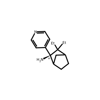 CCC1(CC)C2CCC(C2)[C@]1(N)c1ccncc1